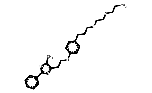 CCCOCCOCCCc1ccc(OCCc2nc(-c3ccccc3)oc2C)cc1